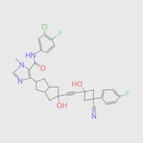 Cn1cnc(C2CC3CC(O)(C#CC4(O)CC(C#N)(c5ccc(F)cc5)C4)CC3C2)c1C(=O)Nc1ccc(F)c(Cl)c1